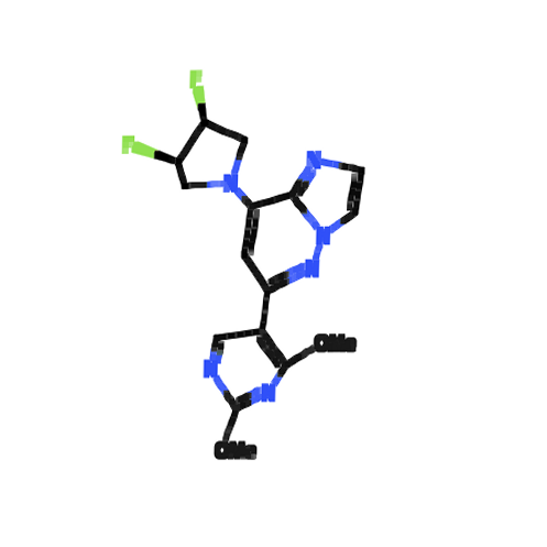 COc1ncc(-c2cc(N3C[C@@H](F)[C@@H](F)C3)c3nccn3n2)c(OC)n1